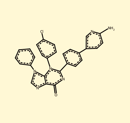 Nc1ccc(-c2ccc(-c3nc(=O)c4ncn(-c5ccccc5)c4n3-c3ccc(Cl)cc3)cc2)cn1